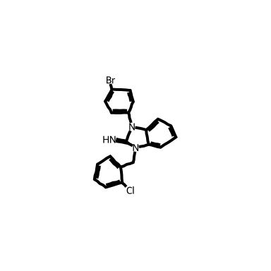 N=c1n(Cc2ccccc2Cl)c2ccccc2n1-c1ccc(Br)cc1